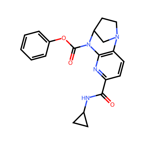 O=C(NC1CC1)c1ccc2c(n1)N(C(=O)Oc1ccccc1)C1CCN2C1